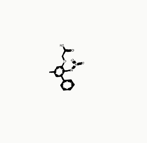 Cc1cc(OCC(=O)O)c(N=S(=O)=O)c(-c2ccccc2)c1